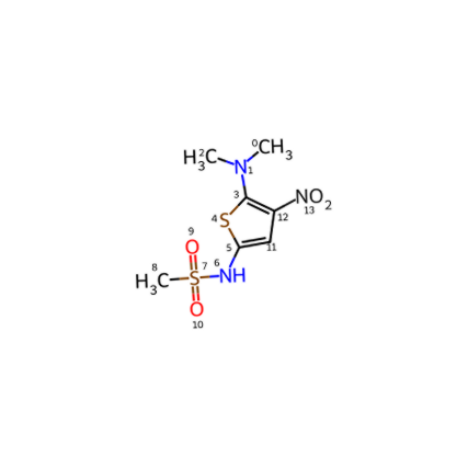 CN(C)c1sc(NS(C)(=O)=O)cc1[N+](=O)[O-]